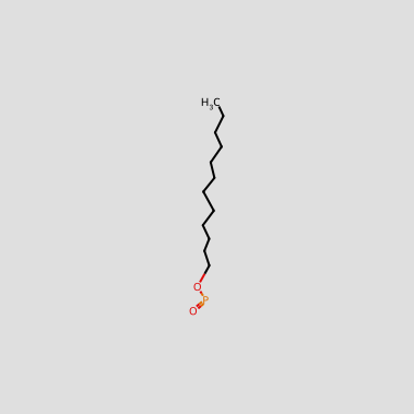 CCCCCCCCCCCCOP=O